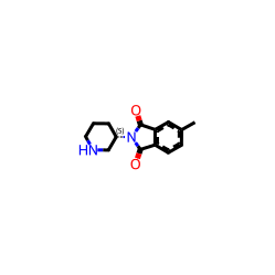 Cc1ccc2c(c1)C(=O)N([C@H]1CCCNC1)C2=O